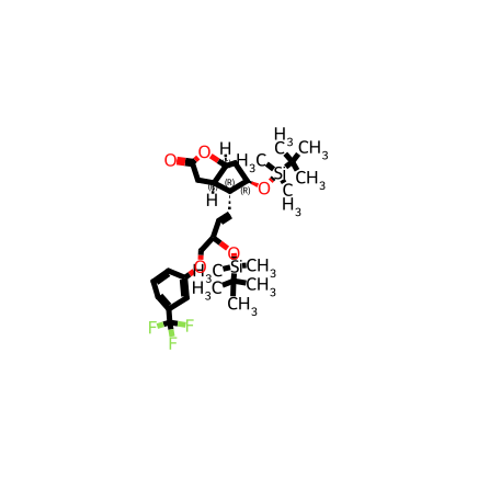 CC(C)(C)[Si](C)(C)OC(C=C[C@@H]1[C@H]2CC(=O)O[C@H]2C[C@H]1O[Si](C)(C)C(C)(C)C)COc1cccc(C(F)(F)F)c1